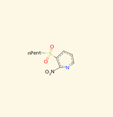 CCCCCS(=O)(=O)c1cccnc1[N+](=O)[O-]